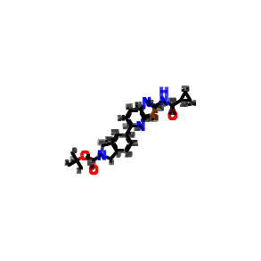 CC(C)(C)OC(=O)N1Cc2ccc(-c3ccc4nc(NC(=O)C5CC5)sc4n3)cc2C1